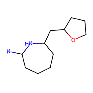 [N]C1CCCCC(CC2CCCO2)N1